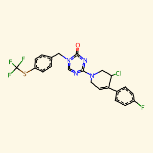 O=c1nc(N2CC=C(c3ccc(F)cc3)C(Cl)C2)ncn1Cc1ccc(SC(F)(F)F)cc1